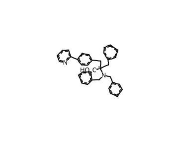 O=C(O)[C@](Cc1ccccc1)(Cc1ccc(-c2ccccn2)cc1)N(Cc1ccccc1)Cc1ccccc1